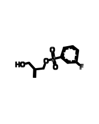 C=C(CO)COS(=O)(=O)c1cccc(F)c1